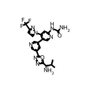 CC(C)[C@H](N)c1nnc(-c2cncc(-c3cnc(NC(N)=O)cc3-n3ccc(C(F)(F)F)n3)c2)o1